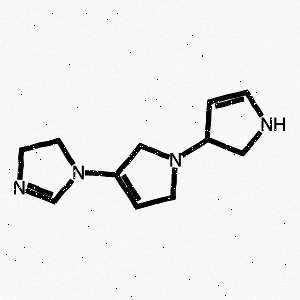 C1=CC(N2CC=C(N3C=NCC3)C2)CN1